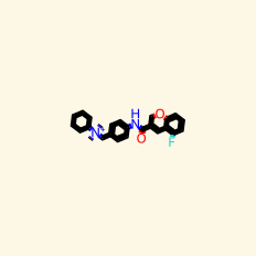 C[N+](C)(Cc1ccc(NC(=O)C2=Cc3c(F)cccc3OC2)cc1)C1CCCCC1